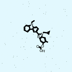 CCn1c2ccccc2c2cc(-c3nc4cc(OC(=O)O)c(C)cc4n3CC3CC3)ccc21